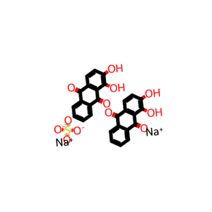 O=C1c2ccccc2C(=O)c2c1ccc(O)c2O.O=C1c2ccccc2C(=O)c2c1ccc(O)c2O.O=S(=O)([O-])[O-].[Na+].[Na+]